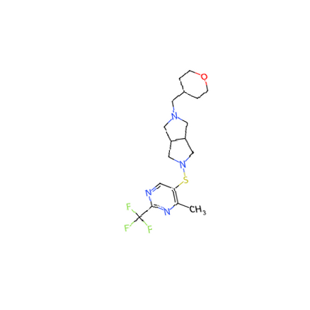 Cc1nc(C(F)(F)F)ncc1SN1CC2CN(CC3CCOCC3)CC2C1